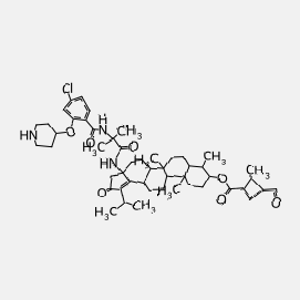 CC(C)C1=C2C3CCC4C(C)(CCC5C(C)C(OC(=O)C6CC(C=O)C6C)CCC54C)C3CCC2(NC(=O)C(C)(C)NC(=O)c2ccc(Cl)cc2OC2CCNCC2)CC1=O